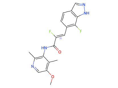 COc1cnc(C)c(NC(=O)/C(F)=C/c2ccc3cn[nH]c3c2F)c1C